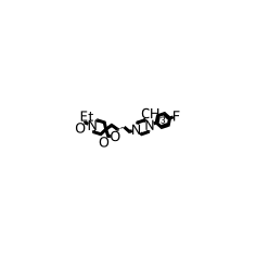 CCC(=O)N1CCC2(CC1)C[C@H](CCN1CCN(c3ccc(F)cc3)[C@H](C)C1)OC2=O